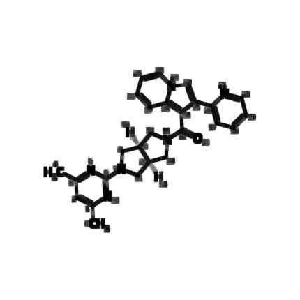 Cc1cc(C)nc(N2C[C@H]3CN(C(=O)c4c(-c5ccccn5)cn5ccccc45)C[C@H]3C2)n1